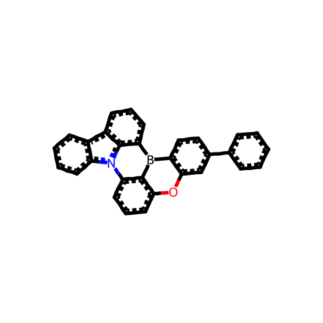 c1ccc(-c2ccc3c(c2)Oc2cccc4c2B3c2cccc3c5ccccc5n-4c23)cc1